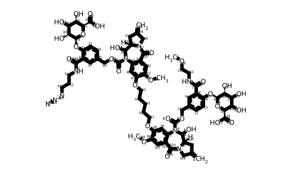 C=C1C[C@H]2C(O)N(C(=O)OCc3ccc(O[C@@H]4O[C@H](C(=O)O)C(O)C(O)[C@H]4O)c(C(=O)NCCOC)c3)c3cc(OCCCCCOc4cc5c(cc4OC)C(=O)N4CC(=C)C[C@H]4C(O)N5C(=O)OCc4ccc(O[C@@H]5O[C@H](C(=O)O)[C@@H](O)C(O)[C@H]5O)c(C(=O)NCCCN=[N+]=[N-])c4)c(OC)cc3C(=O)N2C1